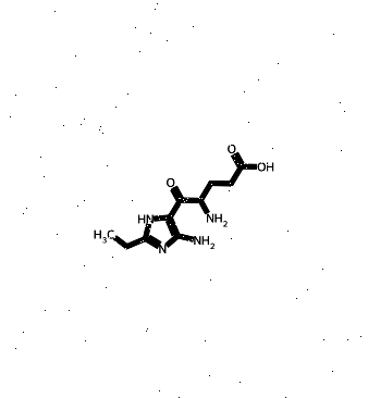 CCc1nc(N)c(C(=O)C(N)CCC(=O)O)[nH]1